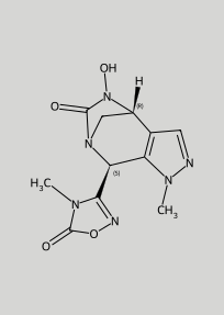 Cn1ncc2c1[C@@H](c1noc(=O)n1C)N1C[C@@H]2N(O)C1=O